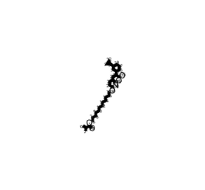 C=C(C)C(=O)OCCCCCCCCCCCCOc1ccc2cc(-c3cccc(C4CC4)c3)c(=O)oc2n1